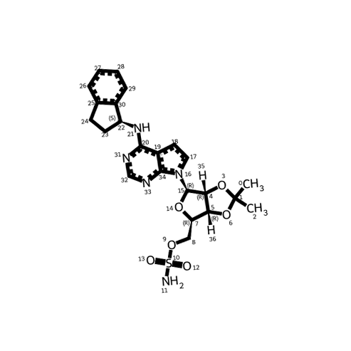 CC1(C)O[C@@H]2[C@H](O1)[C@@H](COS(N)(=O)=O)O[C@H]2n1ccc2c(N[C@H]3CCc4ccccc43)ncnc21